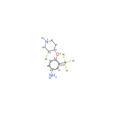 CN1CCC(Oc2ccc(N)cc2C(F)(F)F)C(F)C1